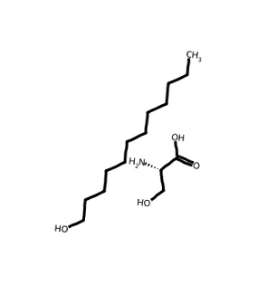 CCCCCCCCCCCCO.N[C@@H](CO)C(=O)O